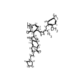 Cc1ccc(C)c(C[C@H](C)Nc2cc[nH]c(=O)c2-c2nc3cc4c(cc3[nH]2)CN(CCN2CCCC2)C4=O)c1